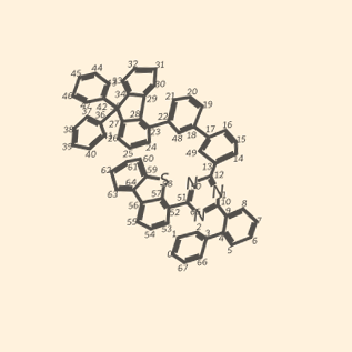 c1ccc(-c2ccccc2-c2nc(-c3cccc(-c4cccc(-c5cccc6c5-c5ccccc5C6(c5ccccc5)c5ccccc5)c4)c3)nc(-c3cccc4c3sc3ccccc34)n2)cc1